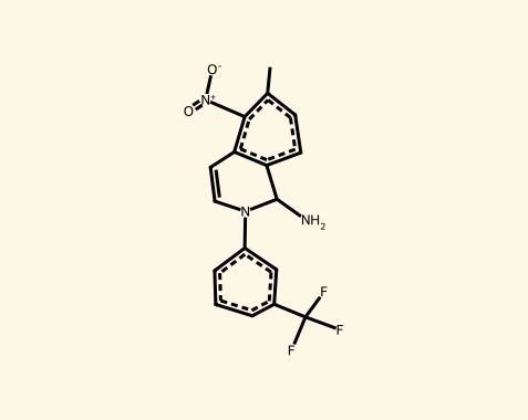 Cc1ccc2c(c1[N+](=O)[O-])C=CN(c1cccc(C(F)(F)F)c1)C2N